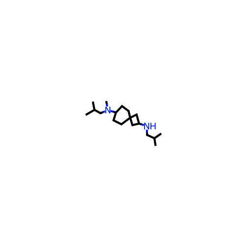 CC(C)CNC1CC2(CCC(N(C)CC(C)C)CC2)C1